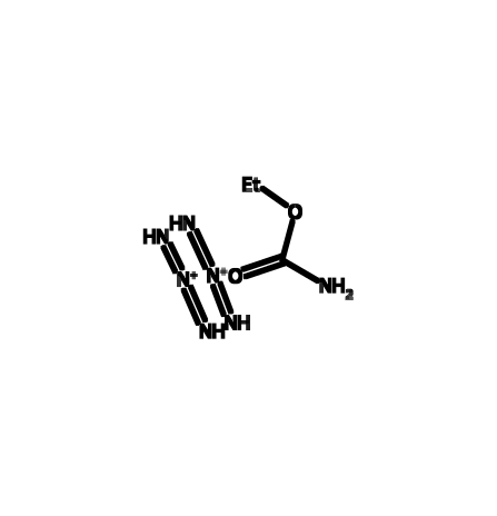 CCOC(N)=O.N=[N+]=N.N=[N+]=N